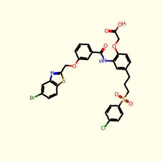 O=C(O)COc1ccc(CCCS(=O)(=O)c2ccc(Cl)cc2)cc1NC(=O)c1cccc(OCc2nc3cc(Br)ccc3s2)c1